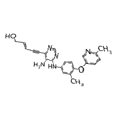 Cc1ccc(Oc2ccc(Nc3ncnc(C#CC=CCO)c3N)cc2C)cn1